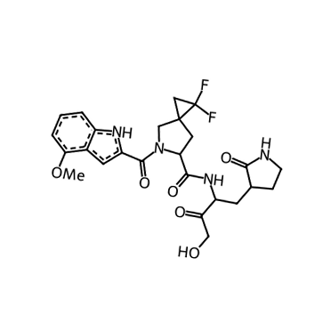 COc1cccc2[nH]c(C(=O)N3CC4(CC3C(=O)NC(CC3CCNC3=O)C(=O)CO)CC4(F)F)cc12